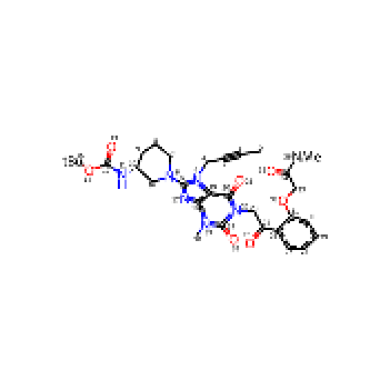 CC#CCn1c(N2CCC[C@@H](NC(=O)OC(C)(C)C)C2)nc2c1c(=O)n(CC(=O)c1ccccc1OCC(=O)NC)c(=O)n2C